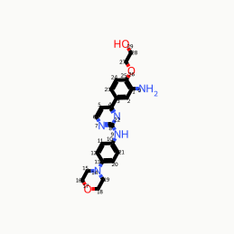 Nc1cc(-c2ccnc(Nc3ccc(N4CCOCC4)cc3)n2)ccc1OCCO